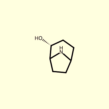 O[C@@H]1CCC2CCC1N2